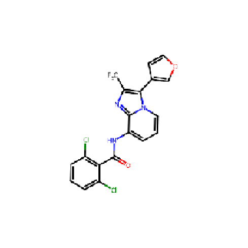 O=C(Nc1cccn2c(-c3ccoc3)c(C(F)(F)F)nc12)c1c(Cl)cccc1Cl